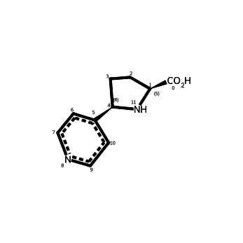 O=C(O)[C@@H]1CC[C@H](c2ccncc2)N1